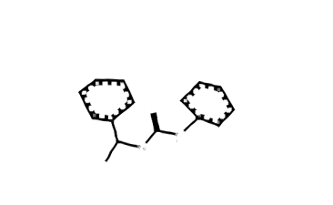 CC(NC(=S)Nc1ccccc1)c1ccccc1